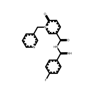 N=C(NC(=O)c1ccc(=O)n(Cc2cccnc2)c1)c1ccc(F)cc1